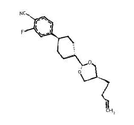 C=CCC[C@H]1CO[C@H]([C@H]2CC[C@H](c3ccc(C#N)c(F)c3)CC2)OC1